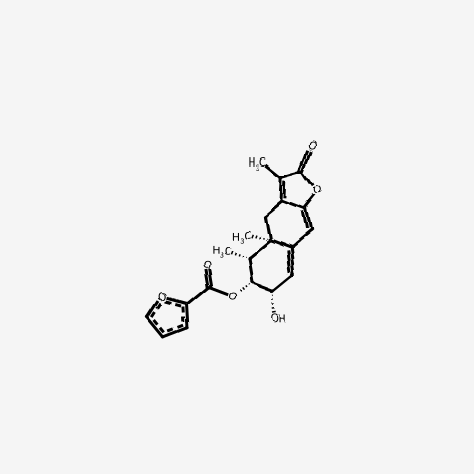 CC1=C2C[C@@]3(C)C(=C[C@H](O)[C@H](OC(=O)c4ccco4)[C@@H]3C)C=C2OC1=O